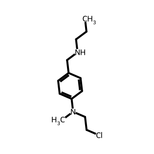 CCCNCc1ccc(N(C)CCCl)cc1